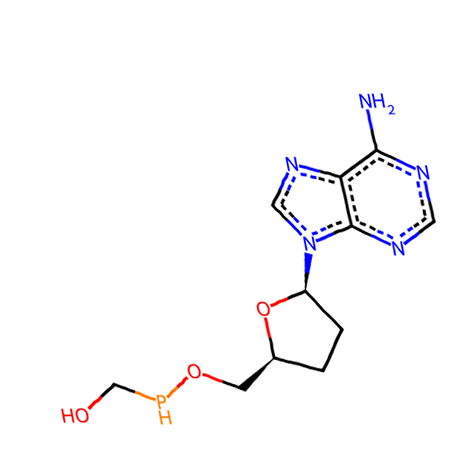 Nc1ncnc2c1ncn2[C@H]1CC[C@@H](COPCO)O1